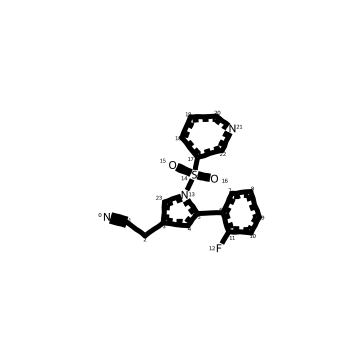 N#CCc1cc(-c2ccccc2F)n(S(=O)(=O)c2cccnc2)c1